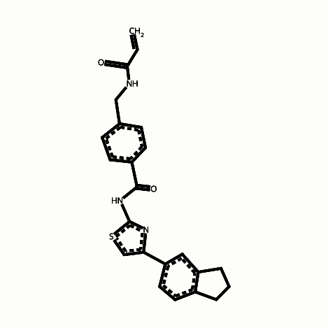 C=CC(=O)NCc1ccc(C(=O)Nc2nc(-c3ccc4c(c3)CCC4)cs2)cc1